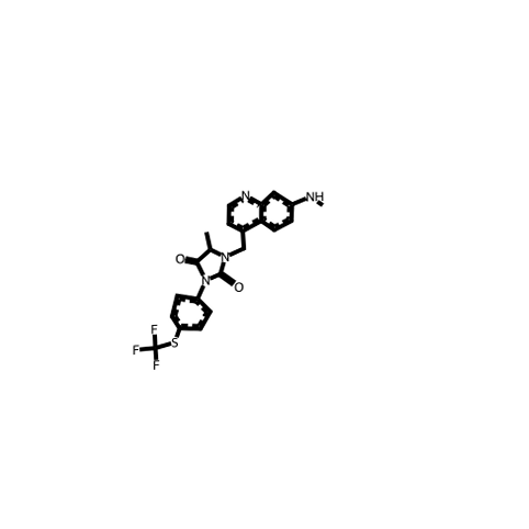 CNc1ccc2c(CN3C(=O)N(c4ccc(SC(F)(F)F)cc4)C(=O)C3C)ccnc2c1